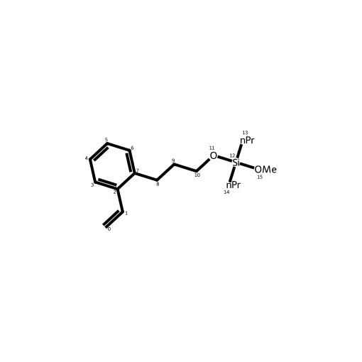 C=Cc1ccccc1CCCO[Si](CCC)(CCC)OC